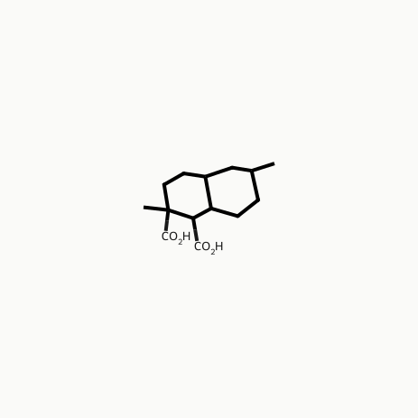 CC1CCC2C(CCC(C)(C(=O)O)C2C(=O)O)C1